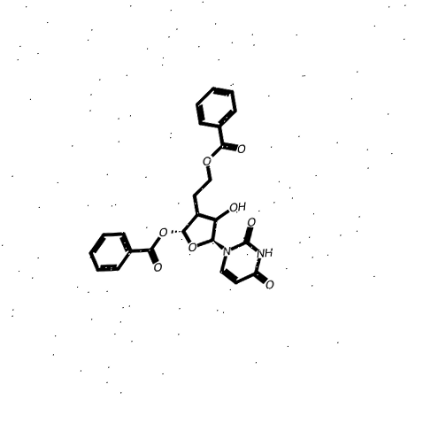 O=C(OCCC1C(O)[C@@H](n2ccc(=O)[nH]c2=O)O[C@@H]1OC(=O)c1ccccc1)c1ccccc1